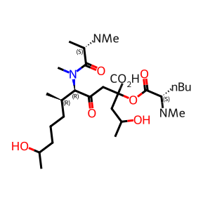 CCCC[C@H](NC)C(=O)OC(CC(=O)[C@@H]([C@H](C)CCCC(C)O)N(C)C(=O)[C@H](C)NC)(CC(C)O)C(=O)O